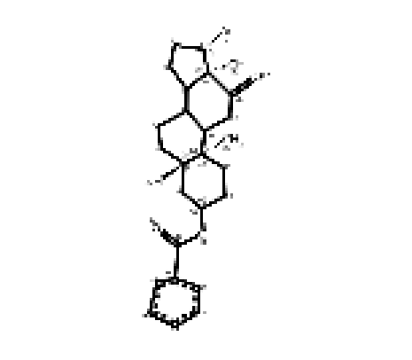 CC(=O)[C@H]1CCC2C3CC[C@H]4C[C@H](OC(=O)c5ccccc5)CC[C@]4(C)C3CC(=O)[C@@]21C